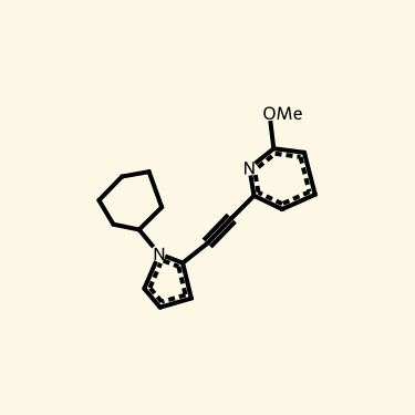 COc1cccc(C#Cc2cccn2C2CCCCC2)n1